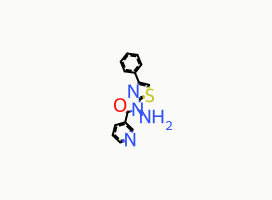 NN(C(=O)c1cccnc1)c1nc(-c2ccccc2)cs1